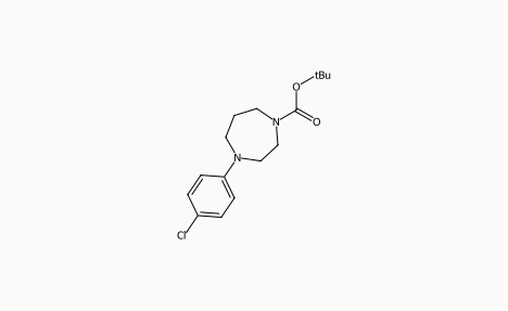 CC(C)(C)OC(=O)N1CCCN(c2ccc(Cl)cc2)CC1